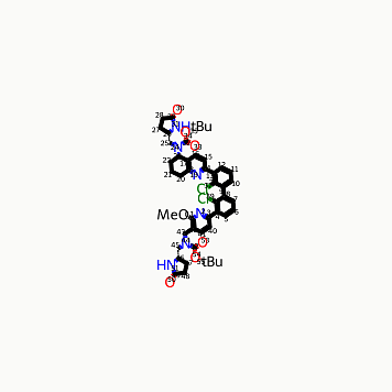 COc1nc(-c2cccc(-c3cccc(-c4ccc5c(n4)CCC[C@H]5N(C[C@@H]4CCC(=O)N4)C(=O)OC(C)(C)C)c3Cl)c2Cl)ccc1CN(C[C@@H]1CCC(=O)N1)C(=O)OC(C)(C)C